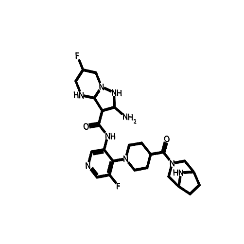 NC1NN2CC(F)CNC2C1C(=O)Nc1cncc(F)c1N1CCC(C(=O)N2CC3CCC(C2)N3)CC1